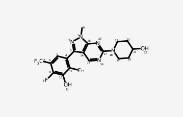 Cn1nc(-c2cc(C(F)(F)F)c(F)c(O)c2F)c2cnc(N3CCC(O)CC3)nc21